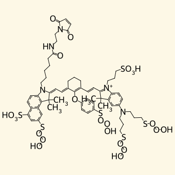 CC1(C)C(/C=C/C2=C(Oc3ccc(SOOO)cc3)C(=C/C=C3/N(CCCCCC(=O)NCCN4C(=O)C=CC4=O)c4ccc5c(S(=O)(=O)O)cc(SOOO)cc5c4C3(C)C)/CCC2)=[N+](CCCS(=O)(=O)O)c2ccc(N(CCCSOOO)CCCSOOO)cc21